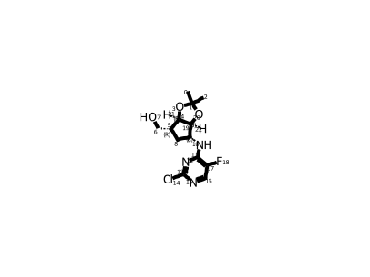 CC1(C)O[C@@H]2[C@@H](CO)C[C@@H](Nc3nc(Cl)ncc3F)[C@@H]2O1